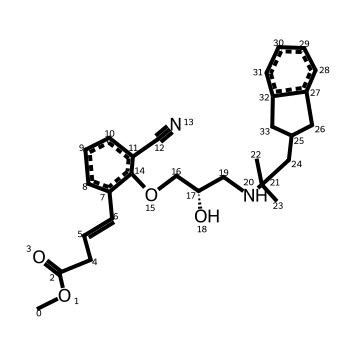 COC(=O)C/C=C/c1cccc(C#N)c1OC[C@@H](O)CNC(C)(C)CC1Cc2ccccc2C1